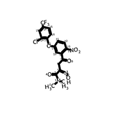 CN(C)C(=O)C(CC(=O)c1cc(Oc2ccc(C(F)(F)F)cc2Cl)ccc1[N+](=O)[O-])=NO